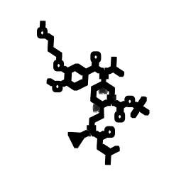 COCCCOc1cc(C(=O)N(C(C)C)[C@@H]2CC[C@H](CCN(C(=O)C=C(C)C)C3CC3)N(C(=O)OC(C)(C)C)C2)ccc1OC